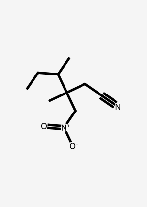 CCC(C)C(C)(CC#N)C[N+](=O)[O-]